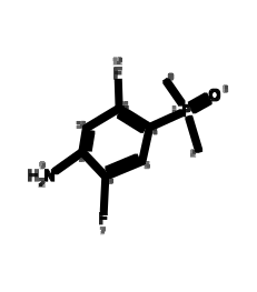 CP(C)(=O)c1cc(F)c(N)cc1F